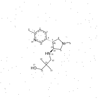 Cc1ccc([C@@H]2CN(C)C[C@H]2NCC(C)(C)CO)cn1